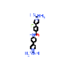 N=C(N)N1CC=C(c2ccc(NC(=O)c3ccc(C4=CCN(C(=N)N)CC4)c(F)c3)cc2)CC1